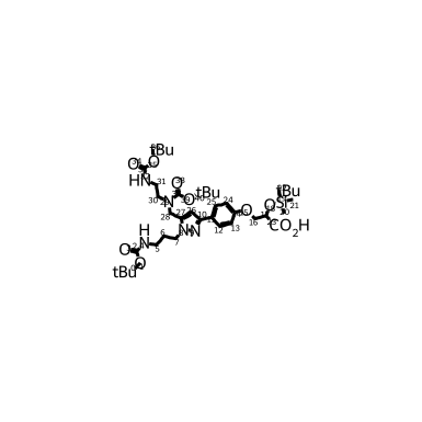 CC(C)(C)OC(=O)NCCCn1nc(-c2ccc(OCC(O[Si](C)(C)C(C)(C)C)C(=O)O)cc2)cc1CN(CCNC(=O)OC(C)(C)C)C(=O)OC(C)(C)C